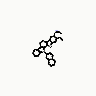 C=Cc1cc2oc3c(ccc4c5ccccc5n(-c5ccc6ccccc6c5)c43)c2cc1/C=C\C